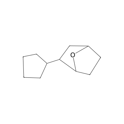 C1CCC(C2CC3CCC2O3)C1